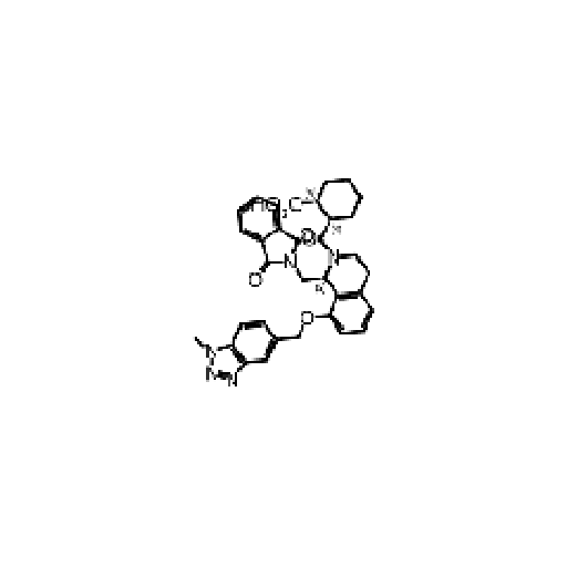 Cn1nnc2cc(COc3cccc4c3[C@@H](CN3C(=O)c5ccccc5C3=O)N(C(=O)[C@@H]3CCCC[C@@H]3C(=O)O)CC4)ccc21